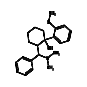 CSc1ccccc1C1(O)CCCCC1C(c1ccccc1)N(C)C